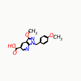 COc1ccc(Cn2nc(OC)c3cc(C(=O)O)cnc32)cc1